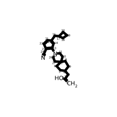 C=C(O)CC1CCC2(CC1)CCN(c1cc(CC3CCC3)ccc1C#N)CC2